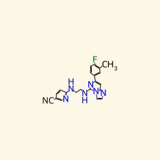 Cc1cc(-c2cc3nccn3c(NCCNc3ccc(C#N)cn3)n2)ccc1F